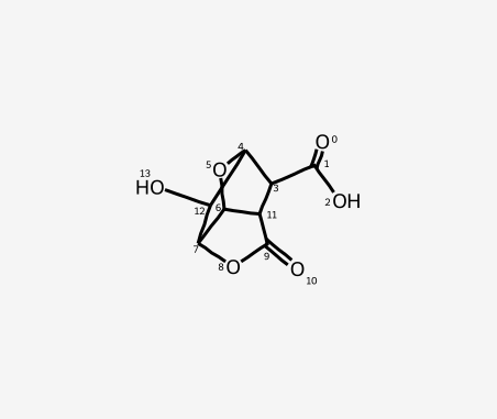 O=C(O)C1C2OC3C(OC(=O)C31)C2O